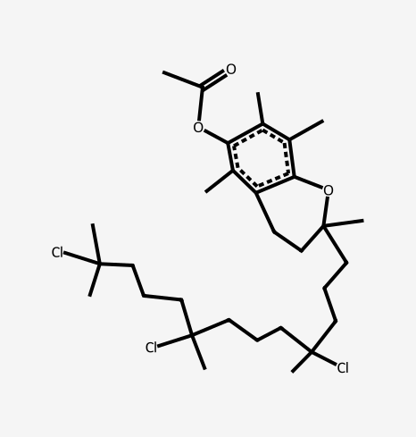 CC(=O)Oc1c(C)c(C)c2c(c1C)CCC(C)(CCCC(C)(Cl)CCCC(C)(Cl)CCCC(C)(C)Cl)O2